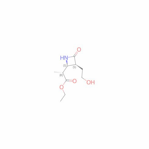 CCOC(=O)[C@H](C)[C@H]1NC(=O)[C@H]1CCO